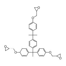 CC(C)(c1ccc(OCC2CO2)cc1)c1ccc(C(C)(C2=CCC(OC[C@@H]3CO3)C=C2)c2ccc(OCC3CO3)cc2)cc1